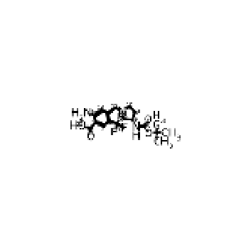 CC(C)(C)OC(=O)N[C@H]1CCN(Cc2cc(N)c(C(=O)O)cc2C(F)(F)F)C1